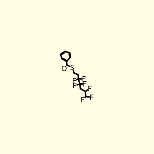 O=C(SCCC(F)(F)C(F)(F)CC(F)C(F)F)c1ccccc1